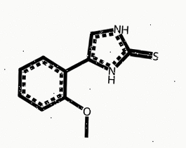 COc1ccccc1-c1c[nH]c(=S)[nH]1